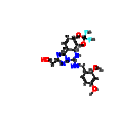 COc1ccc(CNc2nc3c4c(ccc3c3nc(CO)nn23)OC(F)(F)O4)c(OC)c1